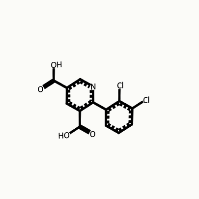 O=C(O)c1cnc(-c2cccc(Cl)c2Cl)c(C(=O)O)c1